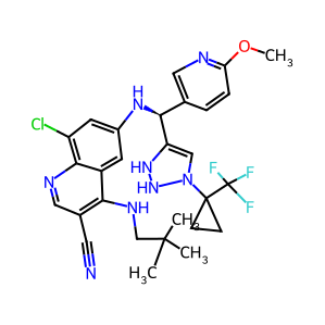 COc1ccc([C@H](Nc2cc(Cl)c3ncc(C#N)c(NCC(C)(C)C)c3c2)C2=CN(C3(C(F)(F)F)CC3)NN2)cn1